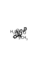 Cc1sc(-c2ccccc2)nc1CC1C(NS(C)(=O)=O)CCN1C(=O)N1CCC1